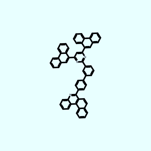 c1cc(-c2ccc(-c3nc4ccccc4c4c3ccc3ccccc34)cc2)cc(-c2nc(-c3cc4ccccc4c4ccccc34)cc(-c3cc4ccccc4c4ccccc34)n2)c1